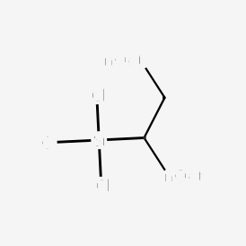 CCCCCCCCCC(CCCCCCCC)[Si](Cl)(Cl)Cl